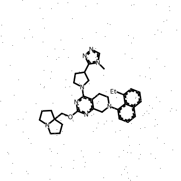 CCc1cccc2cccc(N3CCc4c(nc(OCC56CCCN5CCC6)nc4N4CCC(c5nncn5C)C4)C3)c12